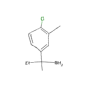 BC(C)(CC)c1ccc(Cl)c(C)c1